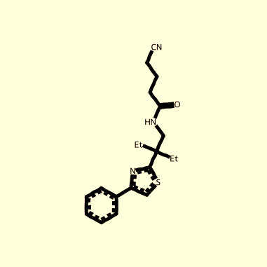 CCC(CC)(CNC(=O)CCCC#N)c1nc(-c2ccccc2)cs1